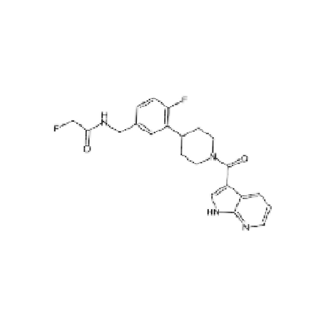 O=C(CF)NCc1ccc(F)c(C2CCN(C(=O)c3c[nH]c4ncccc34)CC2)c1